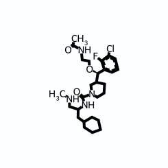 CNCC(CC1CCCCC1)NC(=O)N1CCCC([C@@H](OCCNC(C)=O)c2cccc(Cl)c2F)C1